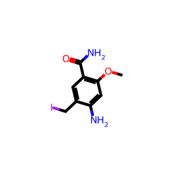 COc1cc(N)c(CI)cc1C(N)=O